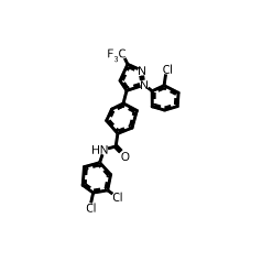 O=C(Nc1ccc(Cl)c(Cl)c1)c1ccc(-c2cc(C(F)(F)F)nn2-c2ccccc2Cl)cc1